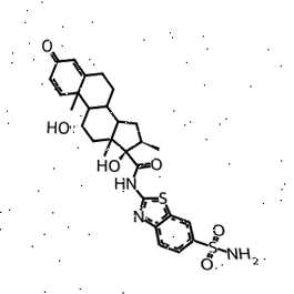 C[C@@H]1CC2C3CCC4=CC(=O)C=CC4(C)C3[C@@H](O)CC2(C)[C@@]1(O)C(=O)Nc1nc2ccc(S(N)(=O)=O)cc2s1